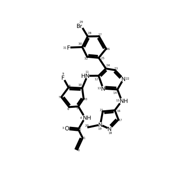 C=CC(=O)Nc1ccc(F)c(Nc2nc(Nc3cnn(C)c3)ncc2-c2ccc(Br)c(F)c2)c1